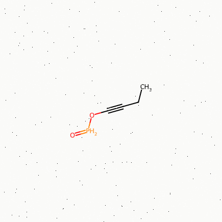 CCC#CO[PH2]=O